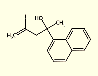 C=C(I)CC(C)(O)c1cccc2ccccc12